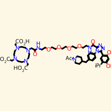 CC(=O)N1CCC(Cc2ccc(-n3c(C(=O)NCCOCCOCCOCCOCCNC(=O)CN4CCN(CC(=O)O)CCN(CC(=O)O)CCN(CC(=O)O)CC4)nnc3-c3cc(C(C)C)c(O)cc3O)cc2)CC1